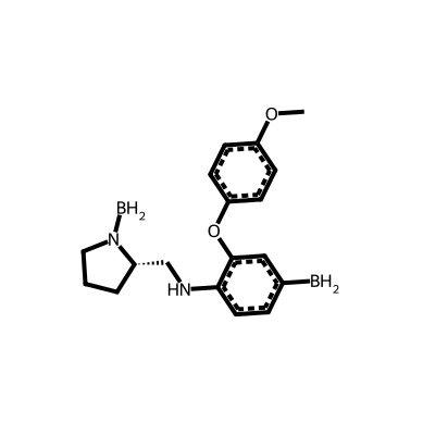 Bc1ccc(NC[C@@H]2CCCN2B)c(Oc2ccc(OC)cc2)c1